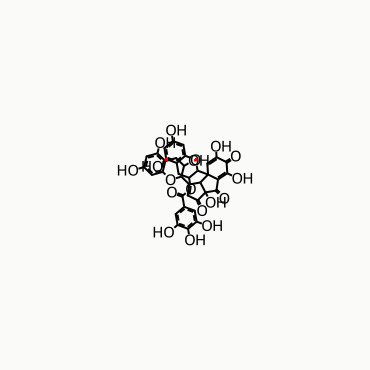 O=C1C(O)=CC2(C3Oc4cc(O)cc(O)c4CC3OC(=O)c3cc(O)c(O)c(O)c3)C(=C1O)C(=O)C1(O)C(=O)C=C(C3Oc4cc(O)cc(O)c4CC3O)C12